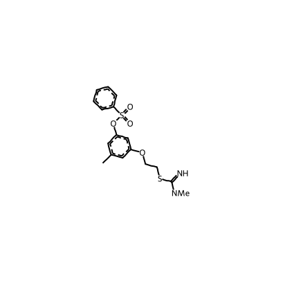 CNC(=N)SCCOc1cc(C)cc(OS(=O)(=O)c2ccccc2)c1